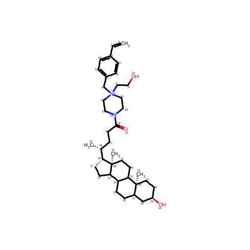 C=Cc1ccc(C[N+]2(CCO)CCN(C(=O)CC[C@@H](C)[C@H]3CCC4C5CCC6C[C@H](O)CC[C@]6(C)C5CC[C@@]43C)CC2)cc1